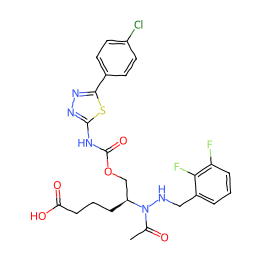 CC(=O)N(NCc1cccc(F)c1F)[C@@H](CCCC(=O)O)COC(=O)Nc1nnc(-c2ccc(Cl)cc2)s1